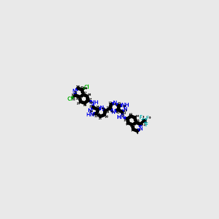 FC(F)(F)c1nccc2cc(Nc3n[nH]c4ncc(-c5ccc6[nH]nc(Nc7ccc8c(Cl)ncc(Cl)c8c7)c6n5)nc34)ccc12